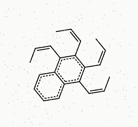 C/C=C\c1c(/C=C\C)c(/C=C\C)c2ccccc2c1/C=C\C